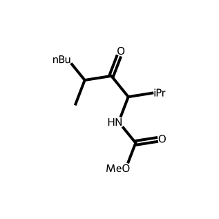 CCCCC(C)C(=O)C(NC(=O)OC)C(C)C